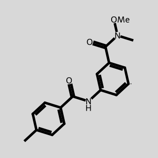 CON(C)C(=O)c1c[c]cc(NC(=O)c2ccc(C)cc2)c1